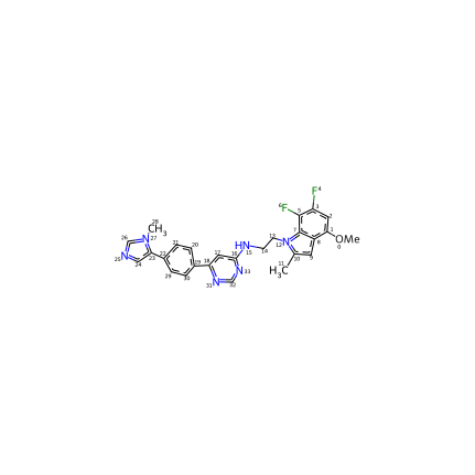 COc1cc(F)c(F)c2c1cc(C)n2CCNc1cc(-c2ccc(-c3cncn3C)cc2)ncn1